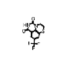 O=c1[nH]c(=O)n2c3c(cc(C(F)(F)F)cc13)SCC2